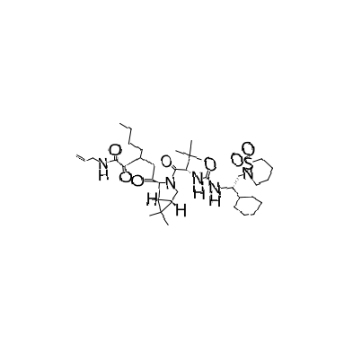 C=CCNC(=O)C(=O)C(CCCC)CC(=O)[C@@H]1[C@@H]2[C@H](CN1C(=O)[C@@H](NC(=O)N[C@H](CN1CCCCS1(=O)=O)C1CCCCC1)C(C)(C)C)C2(C)C